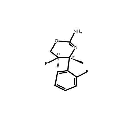 C[C@]1(F)COC(N)=N[C@]1(C)c1ccccc1F